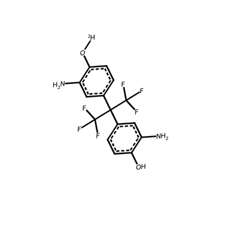 [2H]Oc1ccc(C(c2ccc(O)c(N)c2)(C(F)(F)F)C(F)(F)F)cc1N